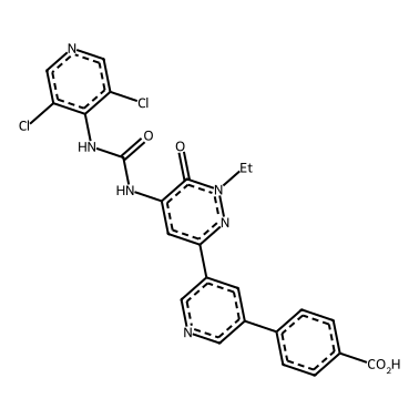 CCn1nc(-c2cncc(-c3ccc(C(=O)O)cc3)c2)cc(NC(=O)Nc2c(Cl)cncc2Cl)c1=O